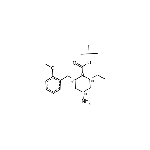 CC[C@@H]1C[C@H](N)C[C@H](Cc2ccccc2OC)N1C(=O)OC(C)(C)C